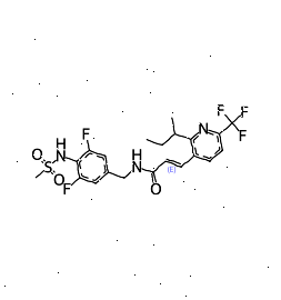 CCC(C)c1nc(C(F)(F)F)ccc1/C=C/C(=O)NCc1cc(F)c(NS(C)(=O)=O)c(F)c1